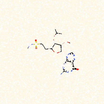 CNS(=O)(=O)CCC1O[C@@H](n2cnc3c(=O)[nH]c(N)nc32)[C@H](OC)[C@@H]1OC(C)C